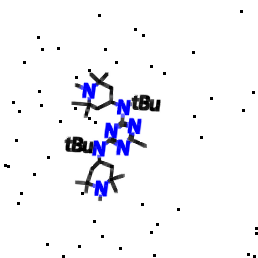 Cc1nc(N(C2CC(C)(C)N(C)C(C)(C)C2)C(C)(C)C)nc(N(C2CC(C)(C)N(C)C(C)(C)C2)C(C)(C)C)n1